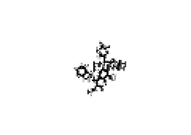 CC[C@@H](Nc1c(C#N)cnc2c(Cl)cc(NC(C3=CNNN3)c3ccc(F)nc3)cc12)c1ccccc1